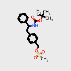 CC(C)(C)OC(=O)NC(Cc1ccc(COS(C)(=O)=O)cc1)c1ccccc1